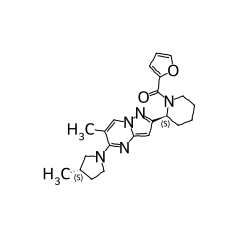 Cc1cn2nc([C@@H]3CCCCN3C(=O)c3ccco3)cc2nc1N1CC[C@H](C)C1